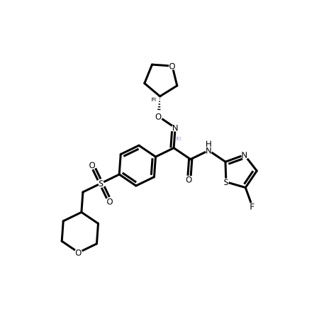 O=C(Nc1ncc(F)s1)/C(=N/O[C@@H]1CCOC1)c1ccc(S(=O)(=O)CC2CCOCC2)cc1